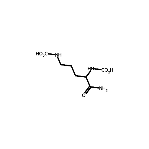 NC(=O)C(CCCNC(=O)O)NC(=O)O